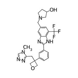 Cn1cnnc1CC1(c2cccc(-c3nc4cc(CN5CCC(O)C5)cc(C(F)(F)F)c4[nH]3)c2)COC1